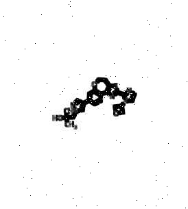 CC(C)(O)Cn1cc(-c2ccc3c(c2)OCCc2sc(-c4nccn4C4COC4)nc2-3)cn1